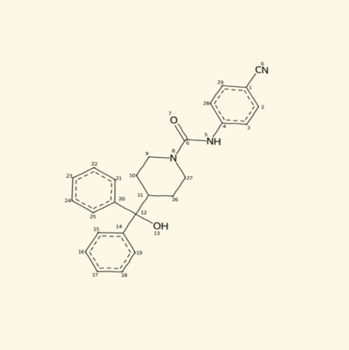 N#Cc1ccc(NC(=O)N2CCC(C(O)(c3ccccc3)c3ccccc3)CC2)cc1